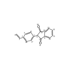 C=Cc1ccc(C2C(=O)c3ccccc3C2=O)cc1